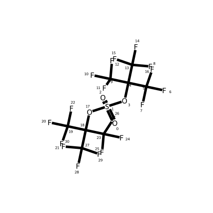 O=S(=O)(OC(C(F)(F)F)(C(F)(F)F)C(F)(F)F)OC(C(F)(F)F)(C(F)(F)F)C(F)(F)F